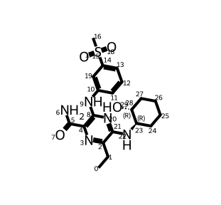 CCc1nc(C(N)=O)c(Nc2cccc(S(C)(=O)=O)c2)nc1N[C@@H]1CCCC[C@H]1O